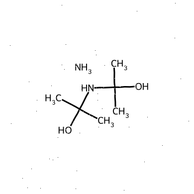 CC(C)(O)NC(C)(C)O.N